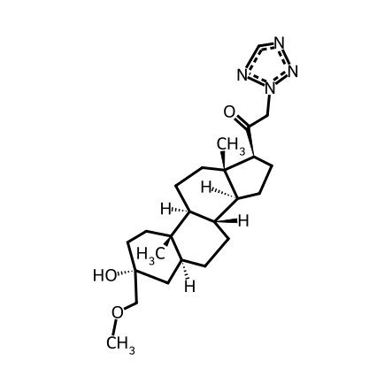 COC[C@@]1(O)CC[C@@]2(C)[C@@H](CC[C@@H]3[C@@H]2CC[C@]2(C)[C@@H](C(=O)Cn4ncnn4)CC[C@@H]32)C1